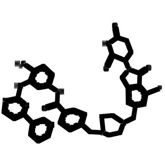 Cc1ccc(NC(=O)c2ccc(CN3CCN(Cc4cc(F)c5c(c4)CN(C4CCC(=O)NC4=O)C5=O)CC3)cc2)cc1Nc1nccc(-c2cccnc2)n1